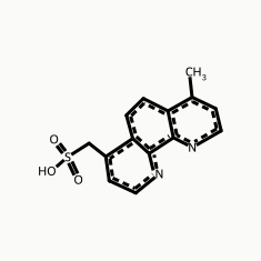 Cc1ccnc2c1ccc1c(CS(=O)(=O)O)ccnc12